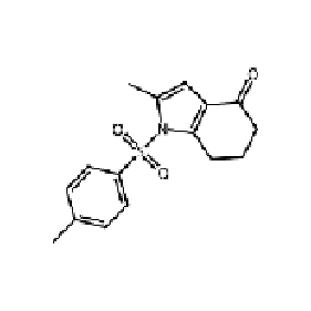 Cc1ccc(S(=O)(=O)n2c(C)cc3c2CCCC3=O)cc1